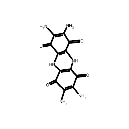 Nc1c(N)c(=O)c2[nH]c3c(=O)c(N)c(N)c(=O)c3[nH]c2c1=O